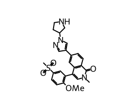 COc1ccc(S(C)(=O)=O)cc1-c1cn(C)c(=O)c2ccc(-c3cnn(C4CCNC4)c3)cc12